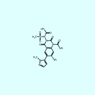 CCCC(=O)N(n1c(=O)c2cc(-c3ccnn3C)c(C(C)C)cc2n(C(=O)CCC)c1=O)S(C)(=O)=O